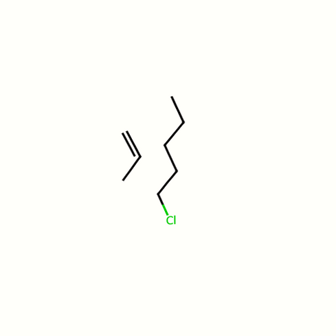 C=CC.CCCCCCl